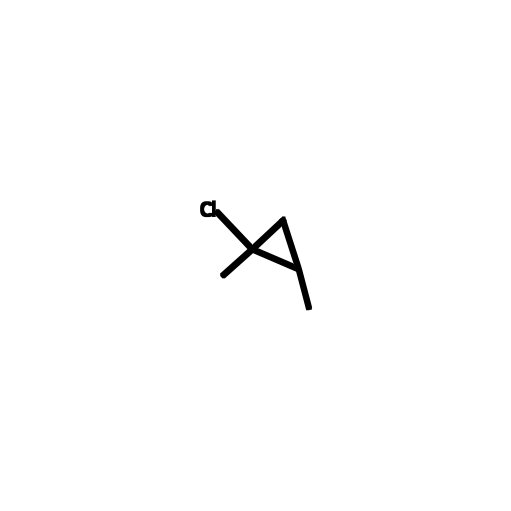 CC1CC1(C)Cl